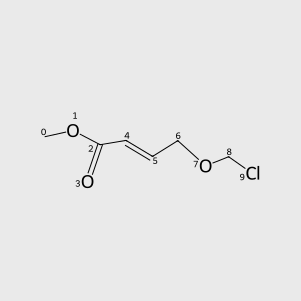 COC(=O)C=CCOCCl